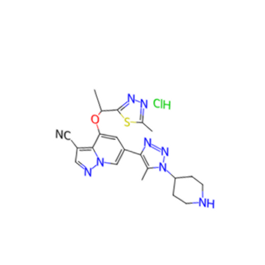 Cc1nnc(C(C)Oc2cc(-c3nnn(C4CCNCC4)c3C)cn3ncc(C#N)c23)s1.Cl